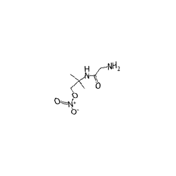 CC(C)(CO[N+](=O)[O-])NC(=O)CN